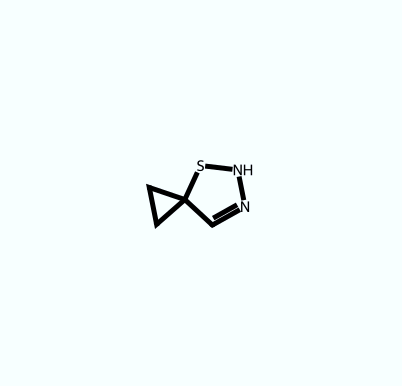 C1=NNSC12CC2